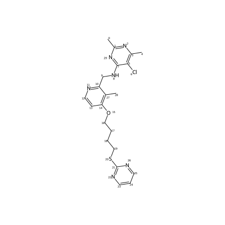 Cc1nc(C)c(Cl)c(NCc2nccc(OCCCCSc3ncccn3)c2C)n1